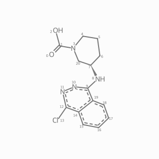 O=C(O)N1CCC[C@@H](Nc2nnc(Cl)c3ccccc23)C1